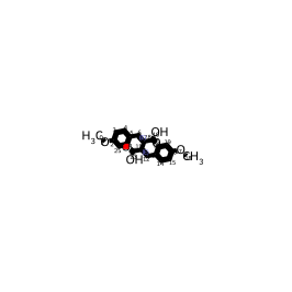 COc1ccc(/C=C(C(=O)O)\C(=C/c2ccc(OC)cc2)C(=O)O)cc1